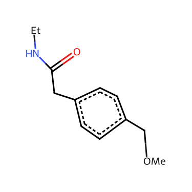 CCNC(=O)Cc1ccc(COC)cc1